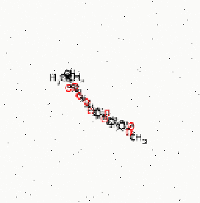 CCOC(=O)c1ccc(-c2ccc(OC(=O)c3ccc(OCCOCCOCCOC(=O)CCC(C)(C)C)cc3)cc2)cc1